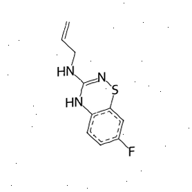 C=CCNC1=NSc2cc(F)ccc2N1